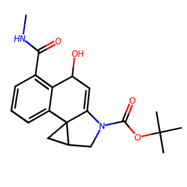 CNC(=O)c1cccc2c1C(O)C=C1N(C(=O)OC(C)(C)C)CC3CC123